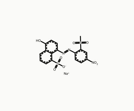 CS(=O)(=O)c1cc([N+](=O)[O-])ccc1/N=N/c1ccc(O)c2cccc(S(=O)(=O)[O-])c12.[Na+]